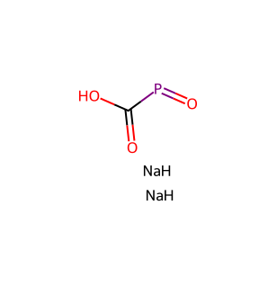 O=PC(=O)O.[NaH].[NaH]